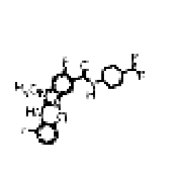 Cn1c(Nc2c(F)cccc2Cl)nc2cc(C(=O)NC3CCC(C(F)F)CC3)c(F)cc21